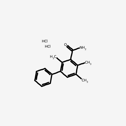 Cc1cc(-c2ccccc2)c(C)c(C(N)=O)c1C.Cl.Cl